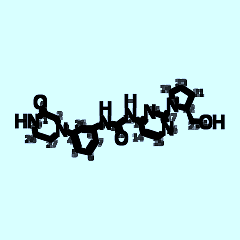 O=C1CN(c2cccc(NC(=O)Nc3ccnc(N4CCC[C@H]4CO)n3)c2)CCN1